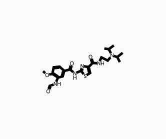 COc1ccc(C(=O)Nc2nc(C(=O)NCCN(C(C)C)C(C)C)cs2)cc1NC=O